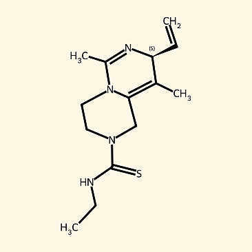 C=C[C@@H]1N=C(C)N2CCN(C(=S)NCC)CC2=C1C